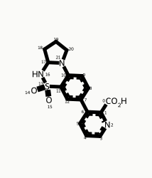 O=C(O)c1ncccc1-c1ccc2c(c1)S(=O)(=O)NC1CCCN21